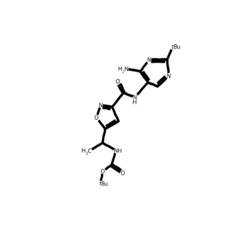 CC(NC(=O)OC(C)(C)C)c1cc(C(=O)Nc2cnc(C(C)(C)C)nc2N)no1